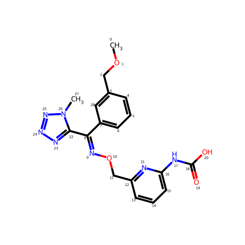 COCc1cccc(/C(=N\OCc2cccc(NC(=O)O)n2)c2nnnn2C)c1